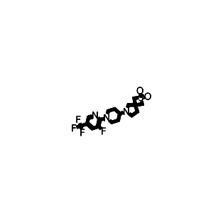 O=S1(=O)CC2(CCN(C3CCN(c4ncc(C(F)(F)F)cc4F)CC3)C2)C1